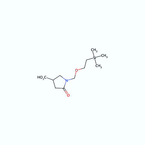 C[Si](C)(C)CCOCN1CC(C(=O)O)CC1=O